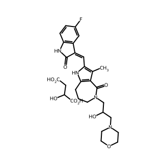 Cc1c(C=C2C(=O)Nc3ccc(F)cc32)[nH]c2c1C(=O)N(CC(O)CN1CCOCC1)CCC2.O=C(O)CC(O)C(=O)O